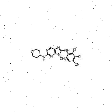 Cn1c(Nc2ccc(C#N)c(Cl)c2Cl)nc2cnc(NC3CCOCC3)nc21